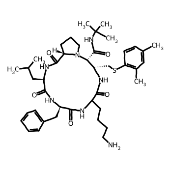 Cc1ccc(SC[C@@H]2NC(=O)C(CCCCN)NC(=O)[C@@H](Cc3ccccc3)NC(=O)[C@@H](CC(C)C)NC(=O)[C@@H]3CCCN3[C@@H]2C(=O)NC(C)(C)C)c(C)c1